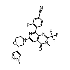 Cn1cc([C@H]2CN(c3cc4c(=O)n(C)c(C(F)(F)F)nc4c(-c4ccc(C#N)cc4F)n3)CCO2)cn1